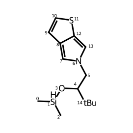 C[SiH](C)OC(Cn1cc2ccsc2c1)C(C)(C)C